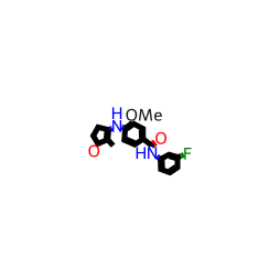 COc1cc(C(=O)Nc2cccc(F)c2)ccc1NC1=C(C)C(=O)CC1